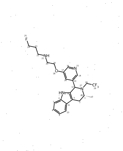 C[C@@H]1Cc2c([nH]c3ccccc23)C(c2cncc(OCCNCCCF)c2)N1CC(F)(F)F